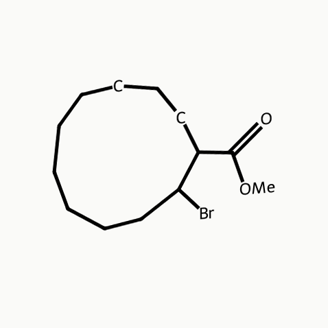 COC(=O)C1CCCCCCCCCC1Br